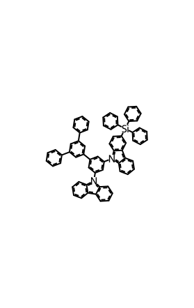 c1ccc(-c2cc(-c3ccccc3)cc(-c3cc(-n4c5ccccc5c5ccccc54)cc(-n4c5ccccc5c5cc([Si](c6ccccc6)(c6ccccc6)c6ccccc6)ccc54)c3)c2)cc1